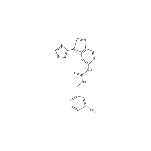 Cc1cccc(CNC(=O)Nc2ccc3ncn(-c4cscn4)c3c2)c1